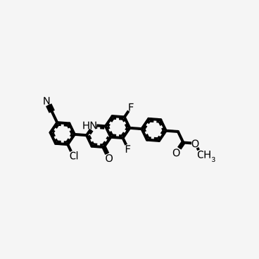 COC(=O)Cc1ccc(-c2c(F)cc3[nH]c(-c4cc(C#N)ccc4Cl)cc(=O)c3c2F)cc1